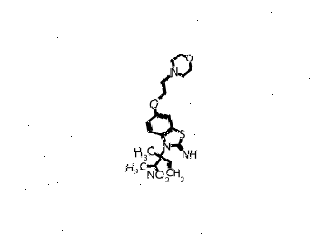 C=CC(C)(C(C)[N+](=O)[O-])n1c(=N)sc2cc(OCCN3CCOCC3)ccc21